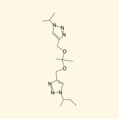 CCC(C)n1cc(COC(C)(C)OCc2cn(C(C)C)nn2)nn1